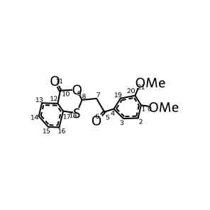 COc1ccc(C(=O)CC2OC(=O)c3ccccc3S2)cc1OC